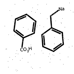 O=C(O)c1ccccc1.[Na][CH2]c1ccccc1